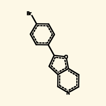 Brc1ccc(-c2cc3cnccc3o2)cc1